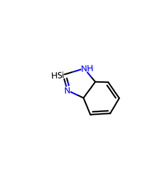 C1=CC2N=[SiH]NC2C=C1